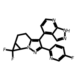 Fc1ccc(-c2nn3c(c2-c2ccnc4[nH]ncc24)CCC2C3C2(F)F)nc1